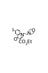 CCOC(=O)c1cn(CCN2CCOCC2)c2ccc(I)cc2c1=O